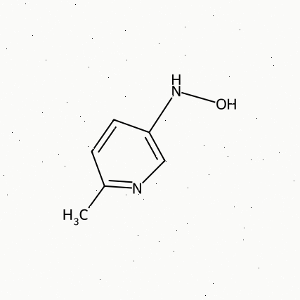 Cc1ccc(NO)cn1